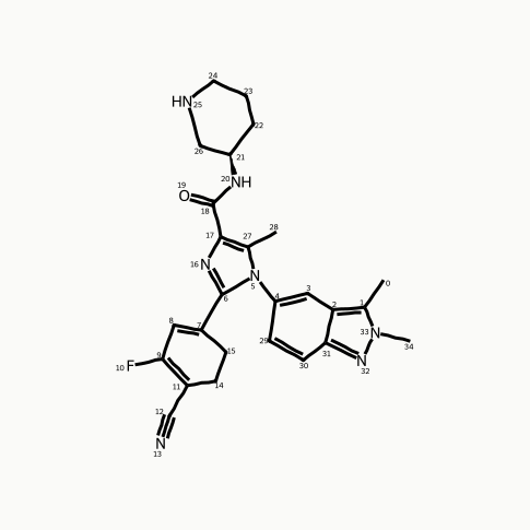 Cc1c2cc(-n3c(C4=CC(F)=C(C#N)CC4)nc(C(=O)N[C@@H]4CCCNC4)c3C)ccc2nn1C